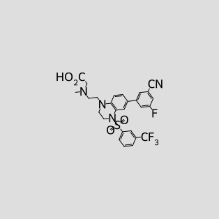 CN(CCN1CCN(S(=O)(=O)c2cccc(C(F)(F)F)c2)c2cc(-c3cc(F)cc(C#N)c3)ccc21)CC(=O)O